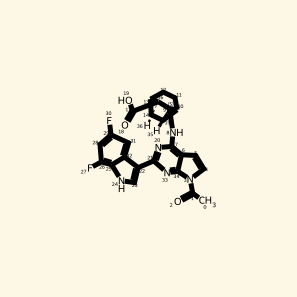 CC(=O)n1ccc2c(N[C@H]3C4CCC(CC4)[C@@H]3C(=O)O)nc(-c3c[nH]c4c(F)cc(F)cc34)nc21